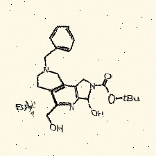 CC(C)(C)OC(=O)N1Cc2c(nc(CO)c3c2CN(Cc2ccccc2)CC3)C1O.[BH4-].[Li+]